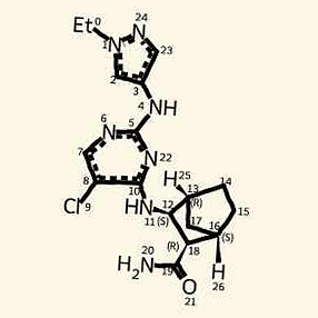 CCn1cc(Nc2ncc(Cl)c(N[C@H]3[C@@H]4CC[C@@H](C4)[C@H]3C(N)=O)n2)cn1